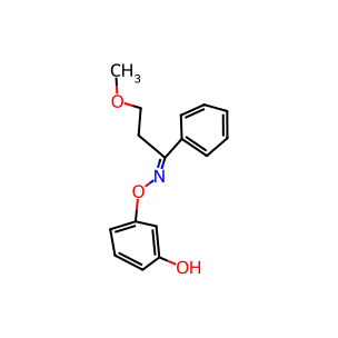 COCC/C(=N\Oc1cccc(O)c1)c1ccccc1